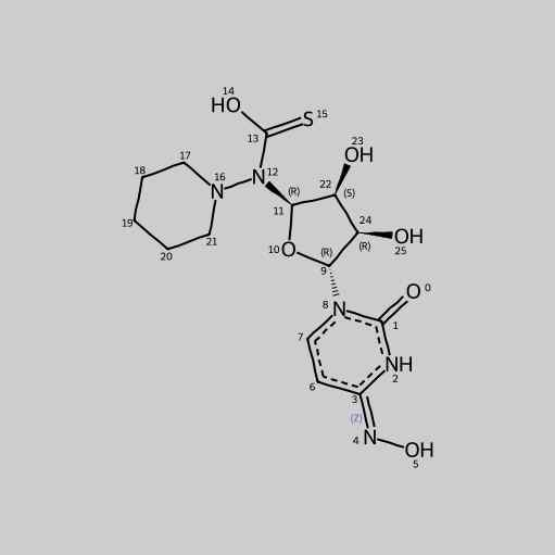 O=c1[nH]/c(=N\O)ccn1[C@@H]1O[C@@H](N(C(O)=S)N2CCCCC2)[C@@H](O)[C@H]1O